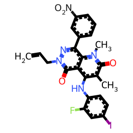 C=CCn1nc(-c2cccc([N+](=O)[O-])c2)c2c(c(Nc3ccc(I)cc3F)c(C)c(=O)n2C)c1=O